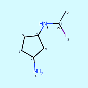 C[C@H](I)NC1CCC(N)C1